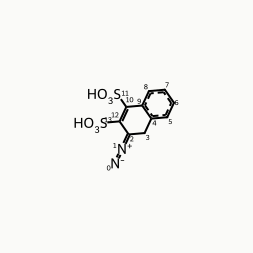 [N-]=[N+]=C1Cc2ccccc2C(S(=O)(=O)O)=C1S(=O)(=O)O